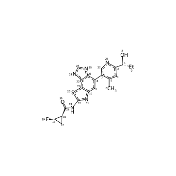 CC[C@@H](O)c1cc(C)c(-c2cc3nc(NC(=O)[C@H]4C[C@H]4F)sc3n3ncnc23)cn1